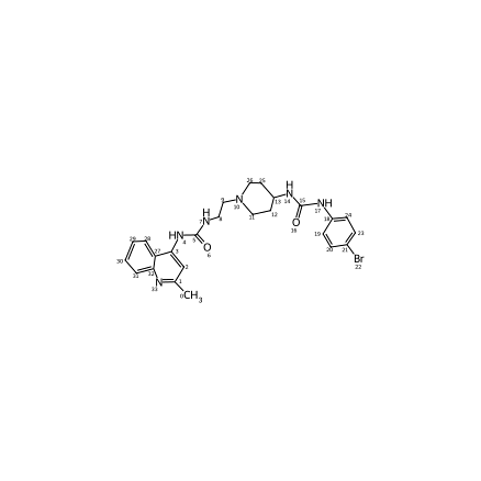 Cc1cc(NC(=O)NCCN2CCC(NC(=O)Nc3ccc(Br)cc3)CC2)c2ccccc2n1